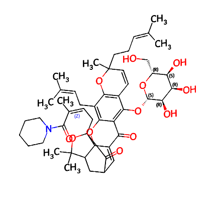 CC(C)=CCCC1(C)C=Cc2c(c(CC=C(C)C)c3c(c2O[C@@H]2O[C@H](CO)[C@@H](O)[C@@H](O)[C@H]2O)C(=O)C2=CC4CC5C(C)(C)OC(C/C=C(/C)C(=O)N6CCCCC6)(C4=O)C25O3)O1